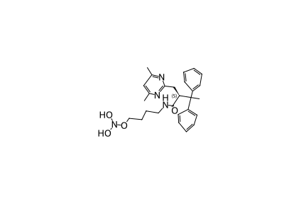 Cc1cc(C)nc(C[C@H](C(=O)NCCCCON(O)O)C(C)(c2ccccc2)c2ccccc2)n1